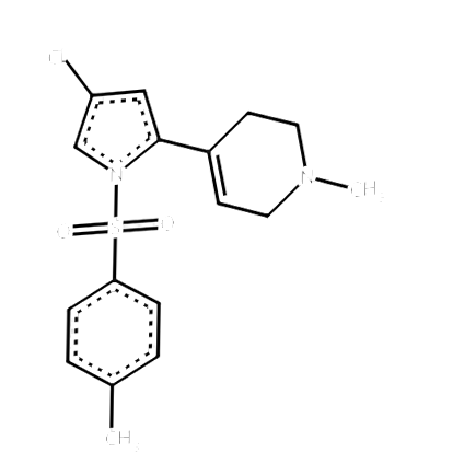 Cc1ccc(S(=O)(=O)n2cc(Cl)cc2C2=CCN(C)CC2)cc1